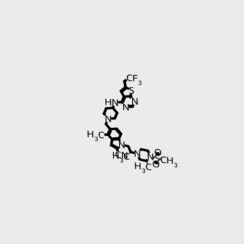 Cc1c(CN2CCC(Nc3ncnc4sc(CC(F)(F)F)cc34)CC2)ccc2c1cc(C#N)n2C[C@@H](C)N1CCN(S(C)(=O)=O)[C@H](C)C1